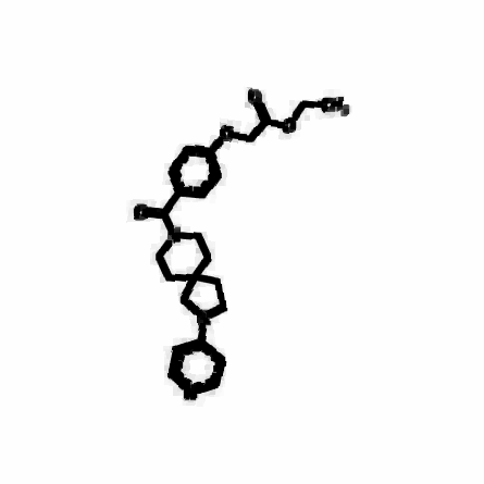 CCOC(=O)COc1ccc(C(=O)N2CCC3(CC2)CCN(c2ccncc2)C3)cc1